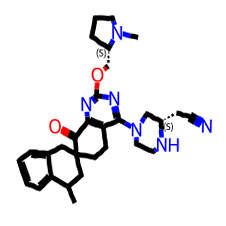 CC1CC2(CCc3c(nc(OC[C@@H]4CCCN4C)nc3N3CCN[C@@H](CC#N)C3)C2=O)Cc2ccccc21